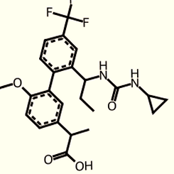 CCC(NC(=O)NC1CC1)c1cc(C(F)(F)F)ccc1-c1cc(C(C)C(=O)O)ccc1OC